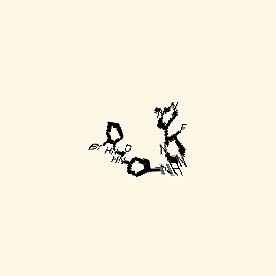 Cn1cc(-c2nc(Nc3ccc(NC(=O)Nc4ccccc4Br)cc3)ncc2F)cn1